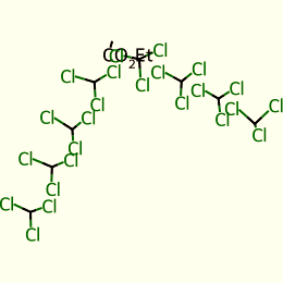 CCOC(C)=O.ClC(Cl)Cl.ClC(Cl)Cl.ClC(Cl)Cl.ClC(Cl)Cl.ClC(Cl)Cl.ClC(Cl)Cl.ClC(Cl)Cl.ClC(Cl)Cl